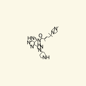 C/C(=C\CC(C)(C)N1CCN(C)CC1)C(=O)Nc1c[nH]c2ncnc(-c3cnn(C4CCNCC4)c3)c12